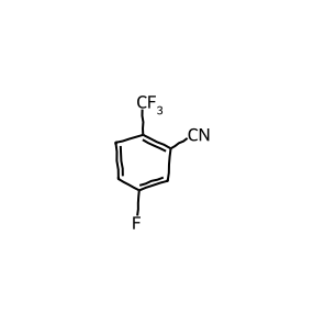 N#Cc1cc(F)ccc1C(F)(F)F